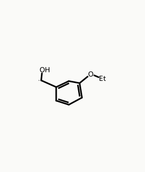 CCOc1cccc([CH]O)c1